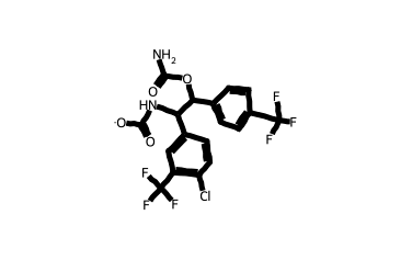 NC(=O)OC(c1ccc(C(F)(F)F)cc1)C(NC([O])=O)c1ccc(Cl)c(C(F)(F)F)c1